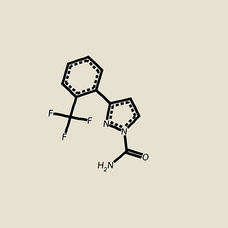 NC(=O)n1ccc(-c2ccccc2C(F)(F)F)n1